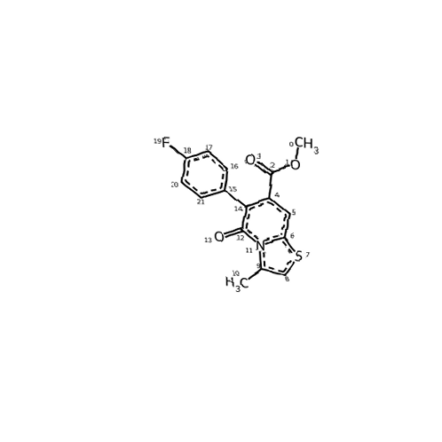 COC(=O)c1cc2scc(C)n2c(=O)c1-c1ccc(F)cc1